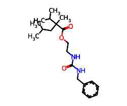 CC(C)CC(C)(C(=O)OCCNC(=O)NCc1ccccc1)C(C)C